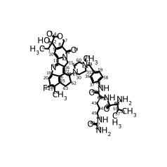 CC[C@@]1(O)C(=O)OCc2c1cc1n(c2=O)Cc2c-1nc1cc(F)c(C)c3c1c2[C@@H](N1CC[N+](C)(Cc2ccc(NC(=O)[C@H](CCCNC(N)=O)NC(=O)[C@@H](N)C(C)C)cc2)CC1)CC3